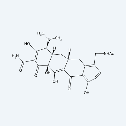 CC(=O)NCc1ccc(O)c2c1C[C@H]1C[C@H]3[C@H](N(C)C)C(O)=C(C(N)=O)C(=O)[C@@]3(O)C(O)=C1C2=O